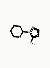 Cc1ccnn1C1CCCCO1